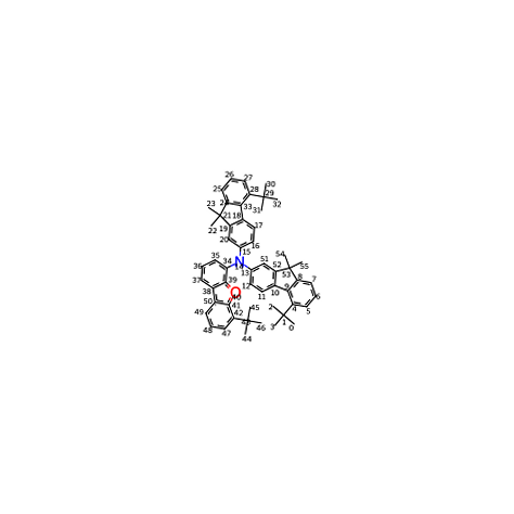 CC(C)(C)c1cccc2c1-c1ccc(N(c3ccc4c(c3)C(C)(C)c3cccc(C(C)(C)C)c3-4)c3cccc4c3oc3c(C(C)(C)C)cccc34)cc1C2(C)C